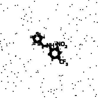 O=[N+]([O-])c1cc(C(F)(F)F)ccc1NCc1ccsc1